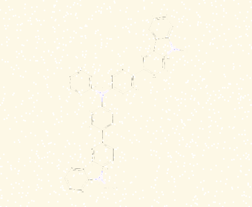 CC(C)(C)n1c2ccccc2c2cc(-c3ccc(N(c4ccccc4)c4ccc(-c5ccc6c(c5)c5ccccc5n6C(C)(C)C)cc4)cc3)ccc21